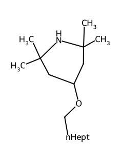 CCCCCCCCOC1CC(C)(C)NC(C)(C)C1